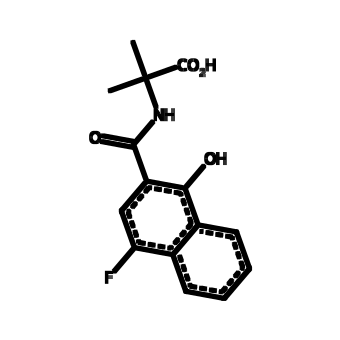 CC(C)(NC(=O)c1cc(F)c2ccccc2c1O)C(=O)O